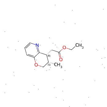 CCOC(=O)C[C@H]1c2ncccc2OC[C@H]1C